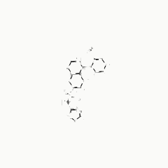 COc1ccccc1-c1nccc2cc(S(=O)(=O)Nc3nccs3)ccc12